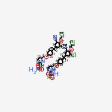 CC(C)(c1ccc(OCc2ccnc(CS(N)(=O)=O)n2)cc1)c1cc(Cl)c(OCCCl)c(C#N)c1.CC(C)(c1ccc(OCc2ccnc(NS(C)(=O)=O)n2)cc1)c1cc(Cl)c(OCCCl)c(C#N)c1